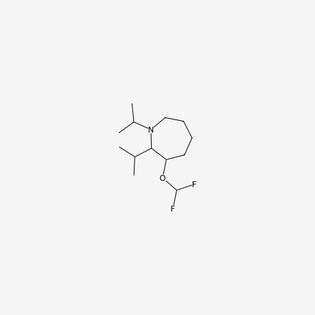 CC(C)C1C(OC(F)F)CCCCN1C(C)C